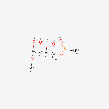 CC(=O)[O-].CC(=O)[O-].CC(=O)[O-].CC(=O)[O-].CC(=O)[O-].O=[P](=O)[U+5]